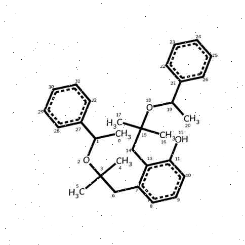 CC(OC(C)(C)Cc1cccc(O)c1CC(C)(C)OC(C)c1ccccc1)c1ccccc1